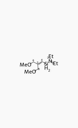 CCN(CC)[SiH2]C=C(COC)COC